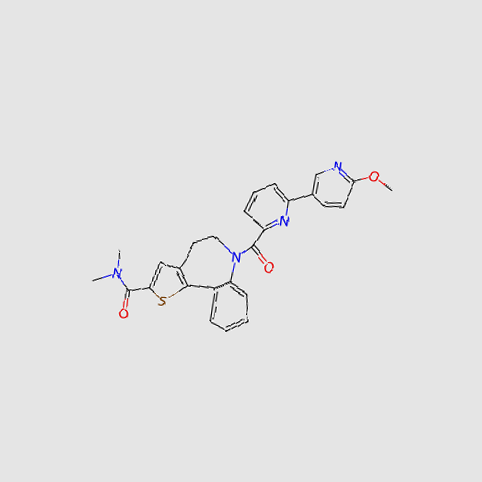 COc1ccc(-c2cccc(C(=O)N3CCc4cc(C(=O)N(C)C)sc4-c4ccccc43)n2)cn1